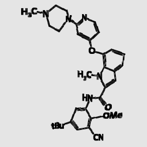 COc1c(C#N)cc(C(C)(C)C)cc1NC(=O)c1cc2cccc(Oc3ccnc(N4CCN(C)CC4)c3)c2n1C